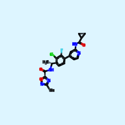 C[C@@H](NC(=O)c1nc(C(C)(C)C)no1)c1ccc(-c2ccnc(NC(=O)C3CC3)c2)c(F)c1Cl